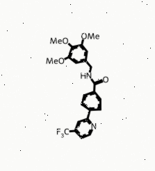 COc1cc(CNC(=O)c2ccc(-c3cc(C(F)(F)F)ccn3)cc2)cc(OC)c1OC